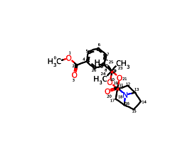 COC(=O)c1cccc(COC2CC3CCC(C2)N3C(=O)OC(C)(C)C)c1